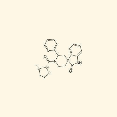 C[C@H]1CCO[C@H]1C(=O)N1CCC2(CC1c1ccccn1)C(=O)Nc1ccccc12